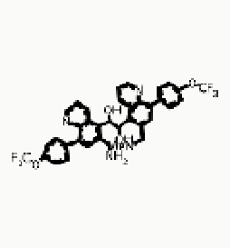 CNCc1cc(-c2ccc(OC(F)(F)F)cc2)c2ncccc2c1C(O)C(O)c1c(CN)cc(-c2ccc(OC(F)(F)F)cc2)c2ncccc12